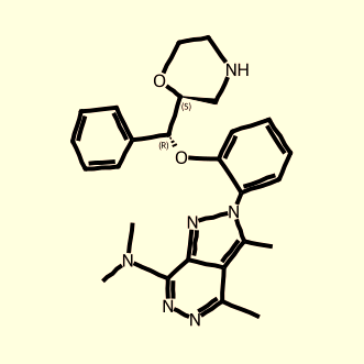 Cc1nnc(N(C)C)c2nn(-c3ccccc3O[C@H](c3ccccc3)[C@@H]3CNCCO3)c(C)c12